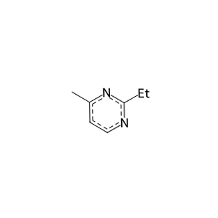 CCc1nccc(C)n1